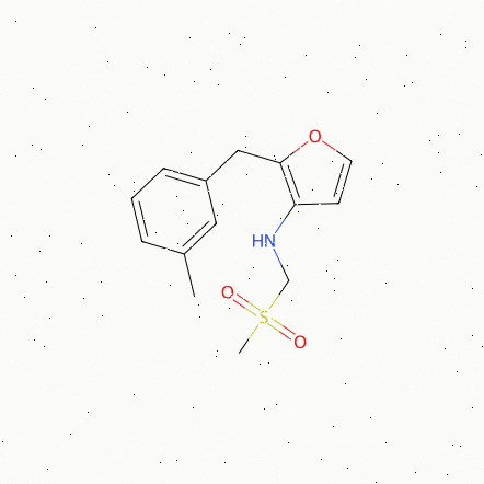 Cc1cccc(Cc2occc2NCS(C)(=O)=O)c1